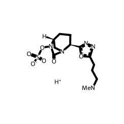 CNCCCc1nnc([C@@H]2CC[C@@H]3CN2C(=O)N3OS(=O)(=O)[O-])o1.[H+]